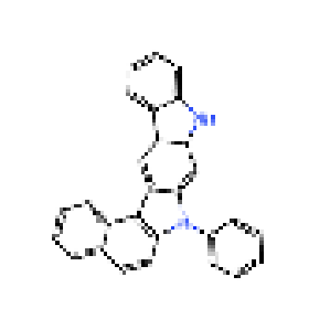 C1=c2c(n(-c3ccccc3)c3ccc4ccccc4c23)=CC2Nc3ccccc3C12